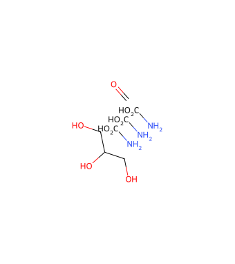 C=O.NC(=O)O.NC(=O)O.NC(=O)O.OCC(O)CO